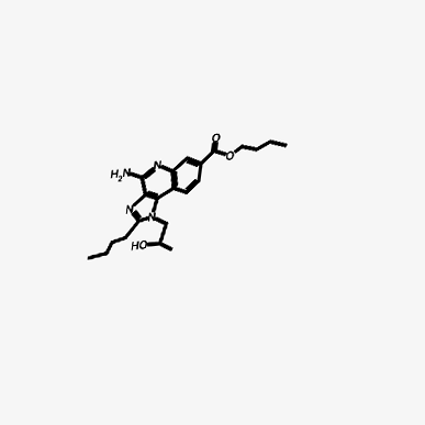 CCCCOC(=O)c1ccc2c(c1)nc(N)c1nc(CCCC)n(CC(C)O)c12